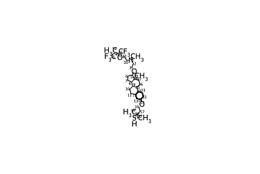 CN(CCOC1CCC2C3CCc4cc(OCCC(C)(C)S)ccc4C3CCC12C)CCOC(C)(C(F)(F)F)C(F)(F)F